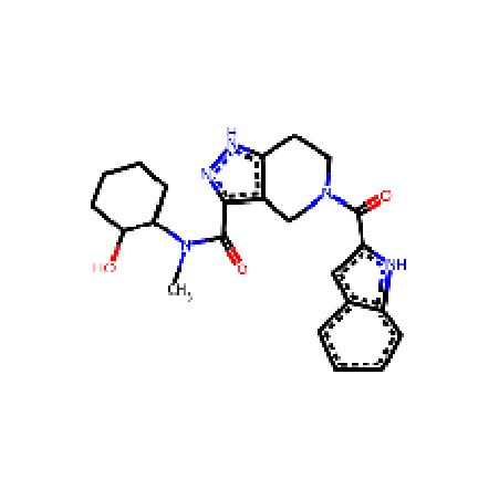 CN(C(=O)c1n[nH]c2c1CN(C(=O)c1cc3ccccc3[nH]1)CC2)C1CCCCC1O